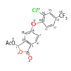 CC(=O)OC1OC(=O)c2ccc(Oc3ccc(C(F)(F)F)cc3Cl)cc21